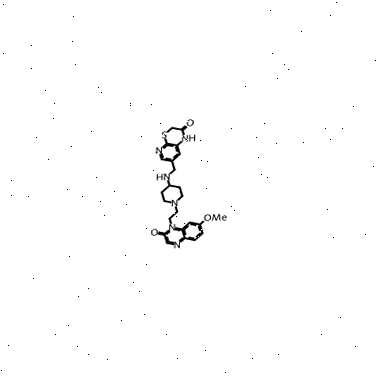 COc1ccc2ncc(=O)n(CCN3CCC(NCc4cnc5c(c4)NC(=O)CS5)CC3)c2c1